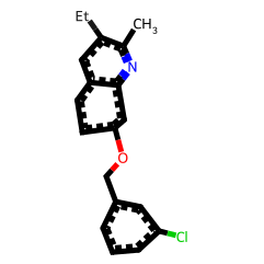 CCc1cc2ccc(OCc3cccc(Cl)c3)cc2nc1C